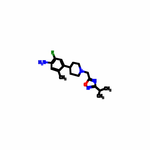 Cc1cc(N)c(F)cc1C1CCN(Cc2nc(C(C)C)no2)CC1